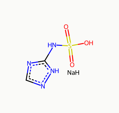 O=S(=O)(O)Nc1ncn[nH]1.[NaH]